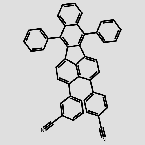 N#Cc1ccc(-c2ccc3c4c(ccc(-c5cccc(C#N)c5)c24)-c2c-3c(-c3ccccc3)c3ccccc3c2-c2ccccc2)cc1